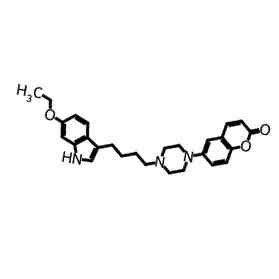 CCOc1ccc2c(CCCCN3CCN(c4ccc5oc(=O)ccc5c4)CC3)c[nH]c2c1